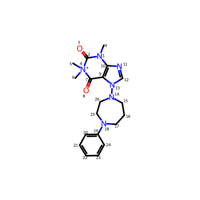 CN1C(=O)[N+](C)(C)C(=O)c2c1ncn2N1CCCN(c2ccccc2)CC1